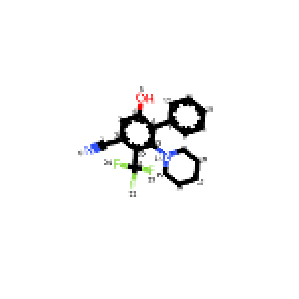 N#Cc1cc(O)c(-c2ccccc2)c(N2CCCCC2)c1C(F)(F)F